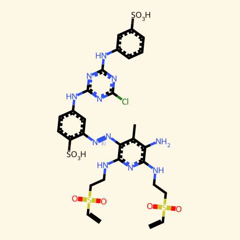 C=CS(=O)(=O)CCNc1nc(NCCS(=O)(=O)C=C)c(/N=N/c2cc(Nc3nc(Cl)nc(Nc4cccc(S(=O)(=O)O)c4)n3)ccc2S(=O)(=O)O)c(C)c1N